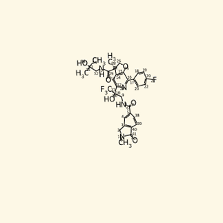 CN1Cc2cc(C(=O)NC[C@](O)(c3cc4c(c(-c5ccc(F)cc5)n3)OC[C@]4(C)C(=O)NCC(C)(C)O)C(F)(F)F)ccc2C1=O